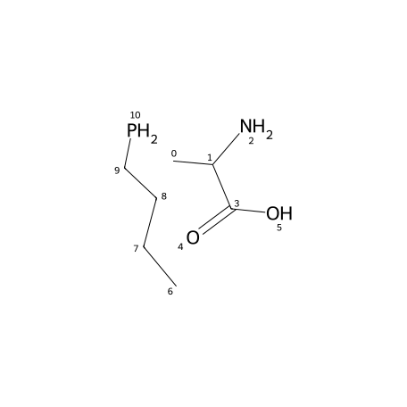 CC(N)C(=O)O.CCCCP